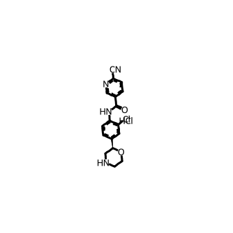 Cl.N#Cc1ccc(C(=O)Nc2ccc([C@@H]3CNCCO3)cc2Cl)cn1